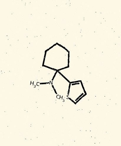 CN(C)C1(c2cccs2)CCCCC1